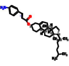 CC(C)CCC[C@@H](C)[C@H]1CC[C@H]2[C@@H]3CC=C4C[C@@H](OC(=O)/C=C/c5ccc(N)cc5)CC[C@]4(C)[C@H]3CC[C@]12C